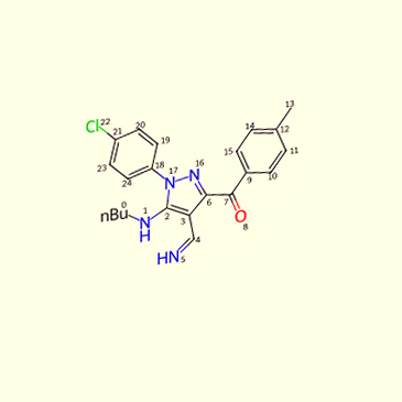 CCCCNc1c(C=N)c(C(=O)c2ccc(C)cc2)nn1-c1ccc(Cl)cc1